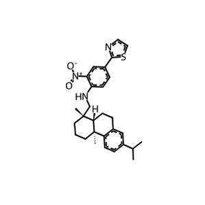 CC(C)c1ccc2c(c1)CC[C@H]1[C@@](C)(CNc3ccc(-c4nccs4)cc3[N+](=O)[O-])CCC[C@]21C